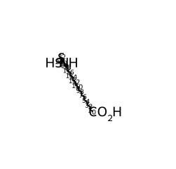 O=C(O)CCCCCCCCCCCCCCCCCCCNC(=S)S